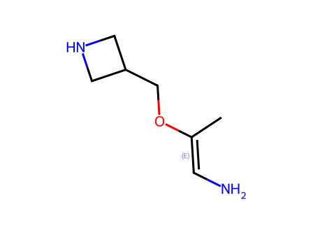 C/C(=C\N)OCC1CNC1